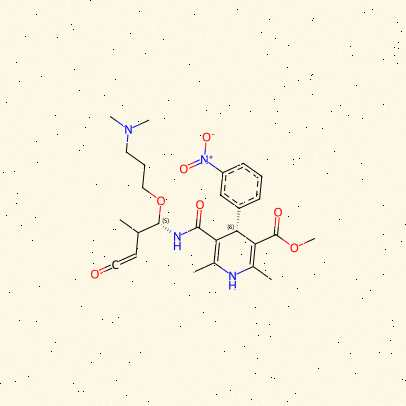 COC(=O)C1=C(C)NC(C)=C(C(=O)N[C@@H](OCCCN(C)C)C(C)C=C=O)[C@@H]1c1cccc([N+](=O)[O-])c1